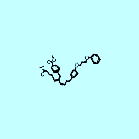 COC(=O)CCCCC(/C=C\CCc1ccc(OCCCOc2ccccc2)cc1)Cc1ccc(C(=O)OC)cc1